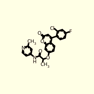 Cc1cc(NC(=O)C(C)Oc2ccc3c(-c4ccc(F)cc4Cl)cc(=O)oc3c2)ccn1